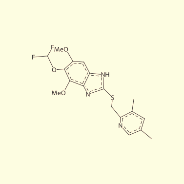 COc1cc2[nH]c(SCc3ncc(C)cc3C)nc2c(OC)c1OC(F)F